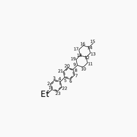 CCc1ccc(-c2ccc(C3CCC4CC(C)CCC4C3)cc2)cc1